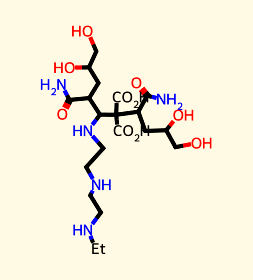 CCNCCNCCNC(C(CC(O)CO)C(N)=O)C(C(=O)O)(C(=O)O)C(CC(O)CO)C(N)=O